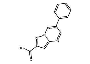 O=C(O)c1cc2ncc(-c3ccccc3)cn2n1